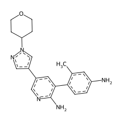 Cc1cc(N)ccc1-c1cc(-c2cnn(C3CCOCC3)c2)cnc1N